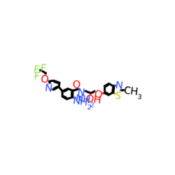 Cc1nc2ccc(OCC(O)CN(N)C(=O)c3cc(-c4ccc(OCC(F)(F)F)nc4)ccc3N)cc2s1